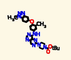 Cc1cc(Nc2ncnc3cnc(N4CCN(C(=O)OC(C)(C)C)CC4)nc23)ccc1Oc1ccc2c(c1)nnn2C